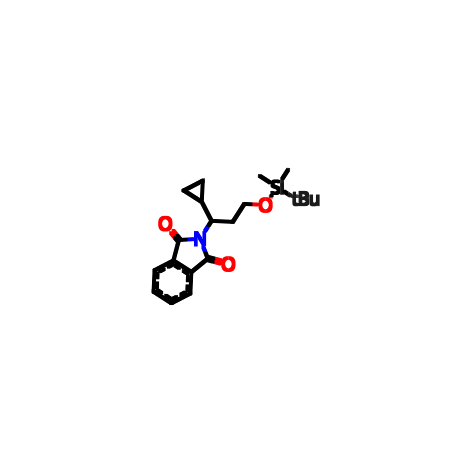 CC(C)(C)[Si](C)(C)OCCC(C1CC1)N1C(=O)c2ccccc2C1=O